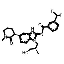 C[C@@H](CO)Cn1/c(=N/C(=O)c2cccc(C(F)F)c2)[nH]c2cc([C@@H]3CCCN(C)C3=O)ccc21